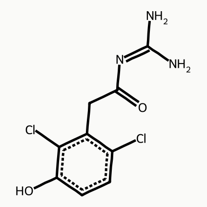 NC(N)=NC(=O)Cc1c(Cl)ccc(O)c1Cl